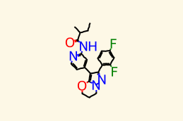 CCC(C)C(=O)Nc1cc(-c2c(-c3ccc(F)cc3F)nn3c2OCCC3)ccn1